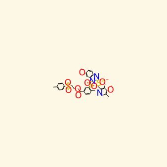 COc1ccc2nc([S+]([O-])Cc3ncc(C)c(OC)c3C)n(S(=O)(=O)c3cc(C(=O)OCCS(=O)(=O)c4ccc(C)cc4)ccc3C)c2c1